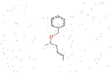 C/C=C/CC(C)OCc1ccccc1